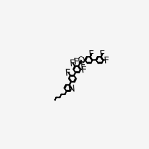 CCCCCc1ccc(-c2ccc(-c3cc(F)c(C(F)(F)Oc4ccc(-c5ccc(F)c(F)c5)c(F)c4)c(F)c3)c(F)c2)nc1